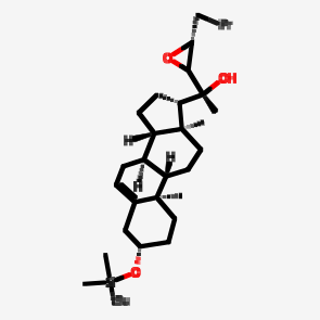 CC(C)C[C@H]1OC1[C@](C)(O)[C@H]1CC[C@H]2[C@@H]3CC=C4C[C@@H](O[Si](C)(C)C(C)(C)C)CC[C@]4(C)[C@H]3CC[C@@]21C